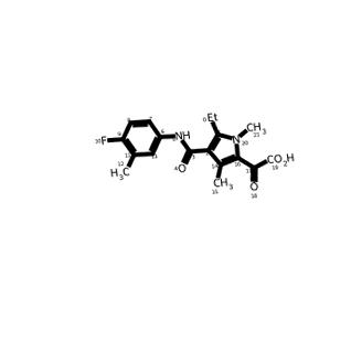 CCc1c(C(=O)Nc2ccc(F)c(C)c2)c(C)c(C(=O)C(=O)O)n1C